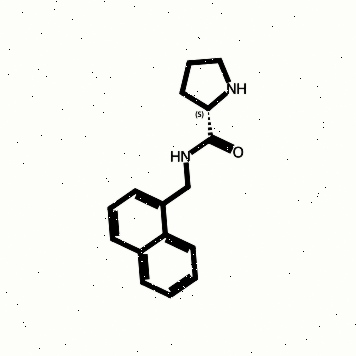 O=C(NCc1cccc2ccccc12)[C@@H]1CCCN1